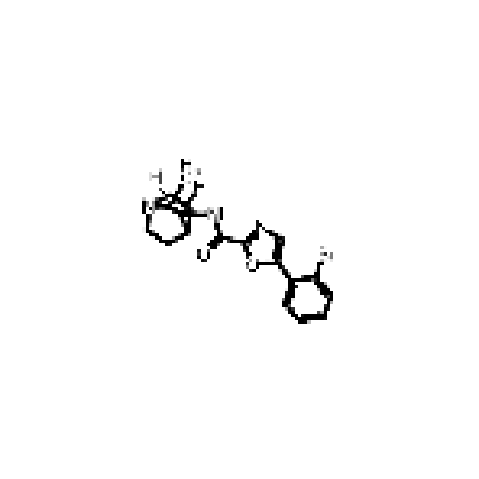 C[C@H]1[C@H](NC(=O)c2ncc(-c3ccccc3Br)o2)C2CCN1CC2